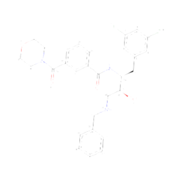 O=C(N[C@@H](Cc1cc(F)cc(F)c1)[C@@H](O)CNCc1ccccc1)c1cccc(C(=O)N2CCOCC2)c1